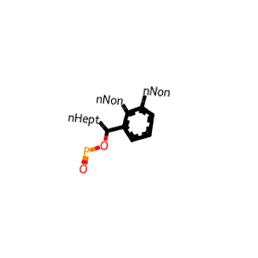 CCCCCCCCCc1cccc(C(CCCCCCC)OP=O)c1CCCCCCCCC